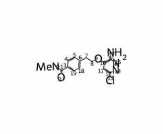 CNC(=O)c1ccc(CCOc2cc(Cl)nnc2N)cc1